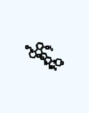 Cc1cccc(C2C(C)CCCN2C=O)c1-c1ccc2nc(N)c(N3CCOCC3)cc2c1